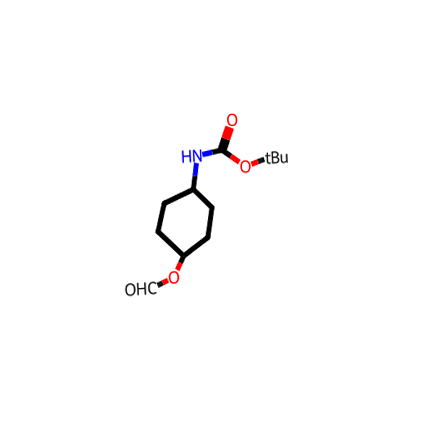 CC(C)(C)OC(=O)NC1CCC(OC=O)CC1